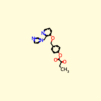 CCC(=O)C(=O)Oc1ccc(COc2cccnc2Cn2ccnc2)cc1